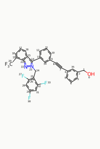 OCc1cccc(C#Cc2cccc(-c3c4cccc(C(F)(F)F)c4nn3Cc3c(F)cc(F)cc3F)c2)c1